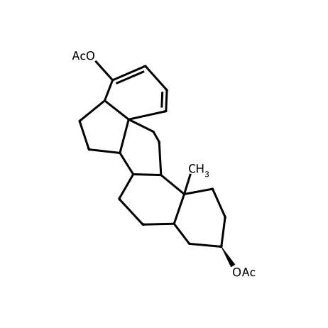 CC(=O)OC1=CC=CC23CCC4C(CCC5C[C@H](OC(C)=O)CCC54C)C2CCC13